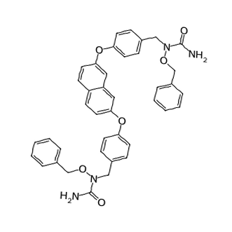 NC(=O)N(Cc1ccc(Oc2ccc3ccc(Oc4ccc(CN(OCc5ccccc5)C(N)=O)cc4)cc3c2)cc1)OCc1ccccc1